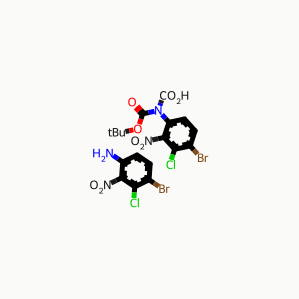 CC(C)(C)OC(=O)N(C(=O)O)c1ccc(Br)c(Cl)c1[N+](=O)[O-].Nc1ccc(Br)c(Cl)c1[N+](=O)[O-]